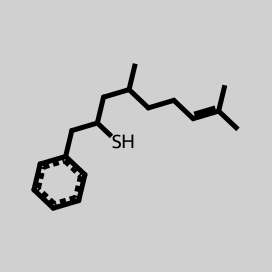 CC(C)=CCCC(C)CC(S)Cc1ccccc1